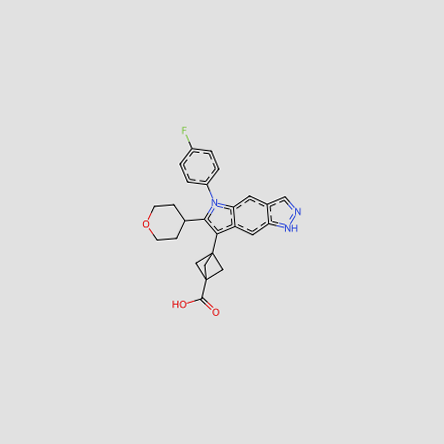 O=C(O)C12CC(c3c(C4CCOCC4)n(-c4ccc(F)cc4)c4cc5cn[nH]c5cc34)(C1)C2